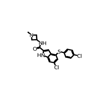 CN1CC(NC(=O)c2cc3c(Sc4ccc(Cl)cc4)cc(Cl)cc3[nH]2)C1